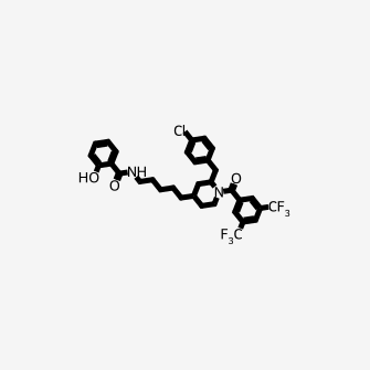 O=C(NCCCCCC1CCN(C(=O)c2cc(C(F)(F)F)cc(C(F)(F)F)c2)C(Cc2ccc(Cl)cc2)C1)c1ccccc1O